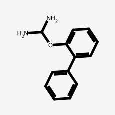 NC(N)Oc1ccccc1-c1ccccc1